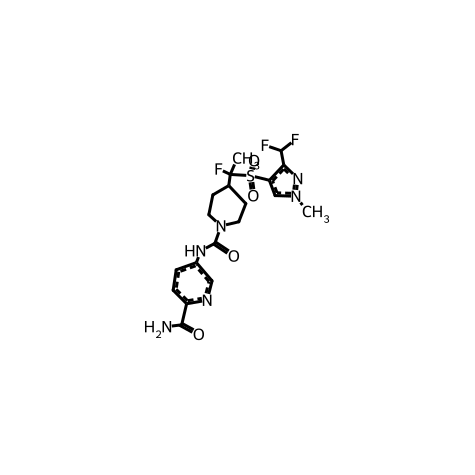 Cn1cc(S(=O)(=O)C(C)(F)C2CCN(C(=O)Nc3ccc(C(N)=O)nc3)CC2)c(C(F)F)n1